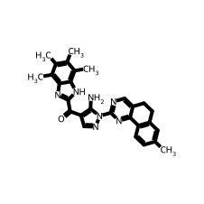 Cc1ccc2c(c1)CCc1cnc(-n3ncc(C(=O)c4nc5c(C)c(C)c(C)c(C)c5[nH]4)c3N)nc1-2